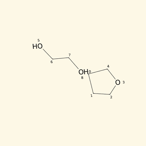 C1CCOC1.OCCO